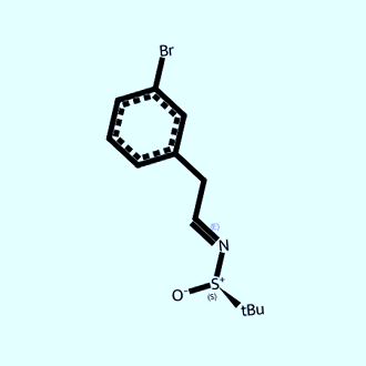 CC(C)(C)[S@@+]([O-])/N=C/Cc1cccc(Br)c1